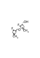 CN1C[C@H](COC2[C@H](F)[C@H](CO)CN2C)[C@H](F)C1